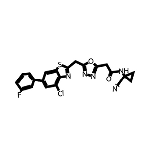 N#CC1(NC(=O)Cc2nnc(Cc3nc4c(Cl)cc(-c5cccc(F)c5)cc4s3)o2)CC1